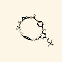 C[C@H]1CNC2C3CN(CC32)C(=O)c2ccc(cc2)Nc2nc(nc(OCC(F)(F)F)n2)NCc2ccc(cc2)OC1